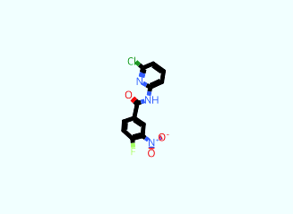 O=C(Nc1cccc(Cl)n1)c1ccc(F)c([N+](=O)[O-])c1